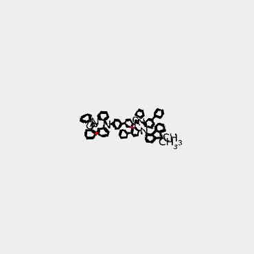 CC1(C)c2ccccc2-c2c(N3c4ccc(-c5ccccc5)cc4N(c4ccccc4)P(=O)(c4ccc(-c5ccc(N6c7ccccc7N(c7ccccc7)P(=O)(c7ccccc7)c7ccccc76)cc5)cc4)c4cc(-c5ccccc5)ccc43)cccc21